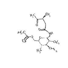 CC(=O)OCC1O[C@@H](NC(=O)C[C@H](C)C(C)=O)C(C)[C@@H](C)[C@@H]1C